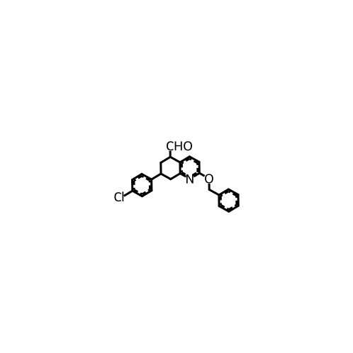 O=CC1CC(c2ccc(Cl)cc2)Cc2nc(OCc3ccccc3)ccc21